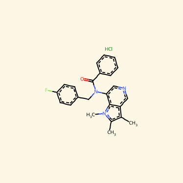 Cc1c(C)n(C)c2c(N(Cc3ccc(F)cc3)C(=O)c3ccccc3)cncc12.Cl